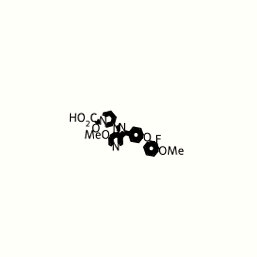 COc1cccc(Oc2ccc(-c3nn(C4CCCN(C(=O)C(=O)O)C4)c4c(OC)cncc34)cc2)c1F